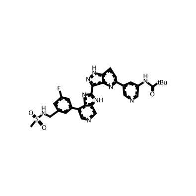 CC(C)(C)C(=O)Nc1cncc(-c2ccc3[nH]nc(-c4nc5c(-c6cc(F)cc(CNS(C)(=O)=O)c6)cncc5[nH]4)c3n2)c1